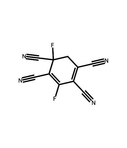 N#CC1=C(C#N)C(F)=C(C#N)C(F)(C#N)C1